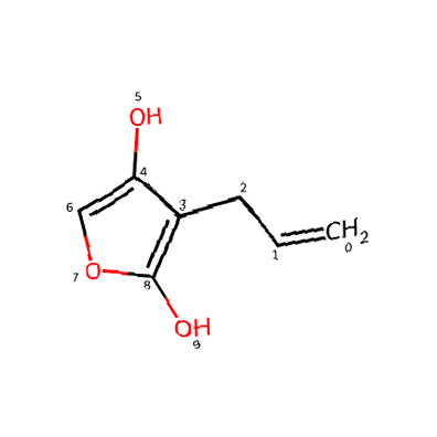 C=CCc1c(O)coc1O